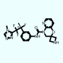 Cn1cnnc1C(F)(F)[C@](C)(F)c1cccc(NC(=O)N2CC3(CNC3)Oc3cccnc32)c1